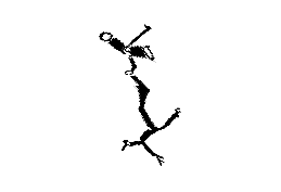 CS(=O)(=O)OCCC(F)=C(F)F